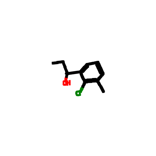 CC[C](O)c1cccc(C)c1Cl